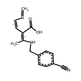 C=N/C=C\C(C(=O)O)=C(/C)NCc1ccc(C#N)cc1